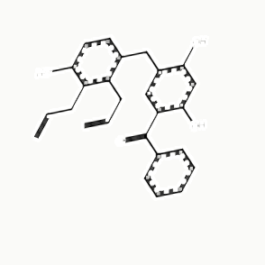 C=CCc1c(O)ccc(Cc2cc(C(=O)c3ccccc3)c(O)cc2O)c1CC=C